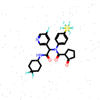 O=C1CCCC1C(=O)N(c1ccc(S(F)(F)(F)(F)F)cc1)C(C(=O)NC1CCC(F)(F)CC1)c1cncc(F)c1